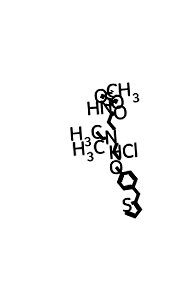 CC(C)N(CCCOc1ccc(Cc2cccs2)cc1)CCC(=O)NS(C)(=O)=O.Cl